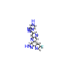 Cc1nc(-c2n[nH]cc2-c2ccc3ncc(-c4nnc5n4CCNC5)cc3n2)ccc1F